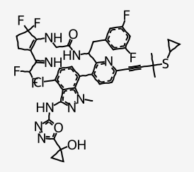 Cn1nc(Nc2nnc(C3(O)CC3)o2)c2c(Cl)ccc(-c3ccc(C#CC(C)(C)SC4CC4)nc3C(Cc3cc(F)cc(F)c3)NC(=O)CNC3=C(C(=N)C(F)F)CCC3(F)F)c21